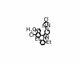 C=[N+]1C=Cc2c(-c3c4c(nn3-c3c(CC)cccc3CC)CCN(c3ncc(Cl)cn3)C4)ccc(Cl)c21